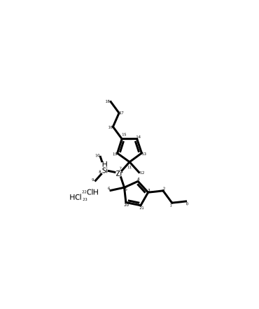 CCCC1=C[C](C)([Zr]([SiH](C)C)[C]2(C)C=CC(CCC)=C2)C=C1.Cl.Cl